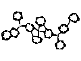 c1ccc(-c2ccc(N(c3ccccc3)c3ccc4c(c3)-c3ccccc3C43c4ccccc4-c4cc(N(c5ccccc5)c5ccc6ccccc6c5)ccc43)cc2)cc1